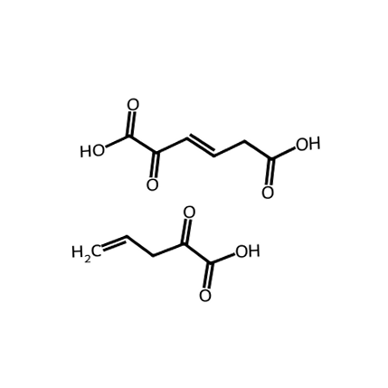 C=CCC(=O)C(=O)O.O=C(O)C/C=C/C(=O)C(=O)O